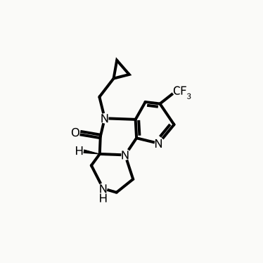 O=C1[C@H]2CNCCN2c2ncc(C(F)(F)F)cc2N1CC1CC1